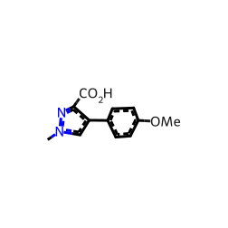 COc1ccc(-c2cn(C)nc2C(=O)O)cc1